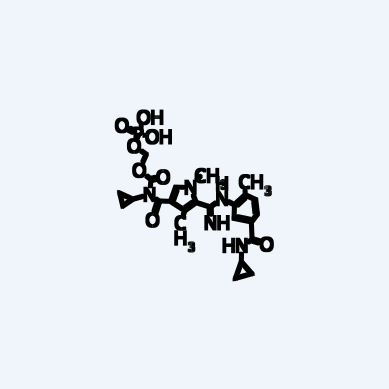 Cc1ccc(C(=O)NC2CC2)cc1NC(=N)c1c(C)c(C(=O)N(C(=O)OCOP(=O)(O)O)C2CC2)cn1C